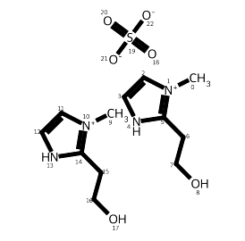 C[n+]1cc[nH]c1CCO.C[n+]1cc[nH]c1CCO.O=S(=O)([O-])[O-]